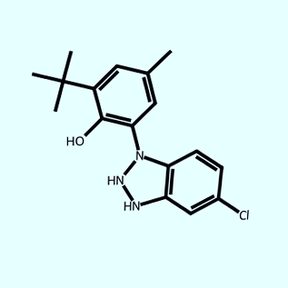 Cc1cc(N2NNc3cc(Cl)ccc32)c(O)c(C(C)(C)C)c1